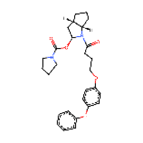 O=C(O[C@H]1C[C@@H]2CCC[C@@H]2N1C(=O)CCCOc1ccc(Oc2ccccc2)cc1)N1CCCC1